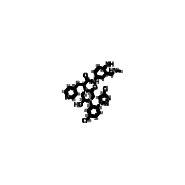 CN/C=C1/C=C(NC(=O)C(Cc2ccncc2)N2CC(O)N(c3cc(Cl)ccc3-n3cc(Cl)nn3)CC2=O)C=CC1=N